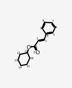 O=C(/C=C/c1ccccc1)OC1CCCCC1